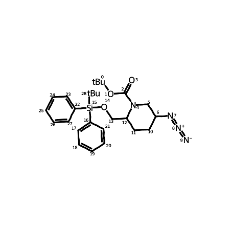 CC(C)(C)OC(=O)N1CC(N=[N+]=[N-])CCC1CO[Si](c1ccccc1)(c1ccccc1)C(C)(C)C